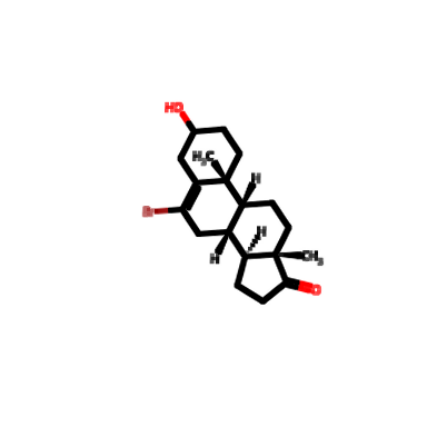 C[C@]12CCC(O)CC1=C(Br)C[C@@H]1[C@H]2CC[C@]2(C)C(=O)CC[C@@H]12